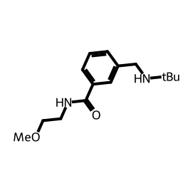 COCCNC(=O)c1cccc(CNC(C)(C)C)c1